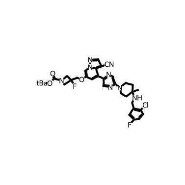 CC1(NCc2cc(F)ccc2Cl)CCN(c2cnc(-c3cc(OCC4(F)CN(C(=O)OC(C)(C)C)C4)cn4ncc(C#N)c34)cn2)CC1